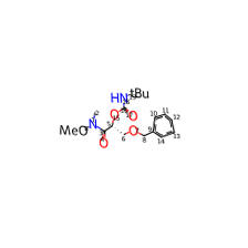 CON(C)C(=O)[C@@H](COCc1ccccc1)OC(=O)NC(C)(C)C